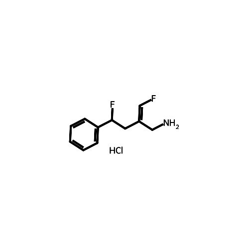 Cl.NCC(=CF)CC(F)c1ccccc1